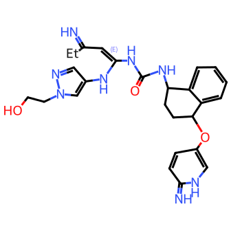 CCC(=N)/C=C(/NC(=O)NC1CCC(Oc2ccc(=N)[nH]c2)c2ccccc21)Nc1cnn(CCO)c1